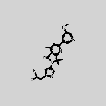 COc1cncc(-c2cc(C)c3c(n2)C(C)(C)N(c2cnn(CC(F)F)c2)C3=O)c1